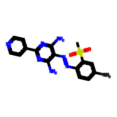 CS(=O)(=O)c1cc([N+](=O)[O-])ccc1/N=N/c1c(N)nc(-c2ccncc2)nc1N